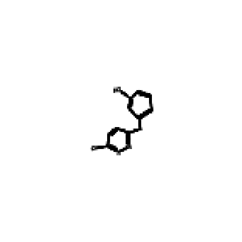 Oc1cccc(Cc2ccc(Cl)nn2)c1